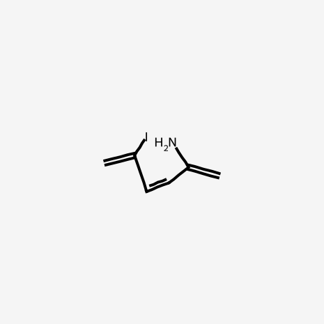 C=C(N)/C=C\C(=C)I